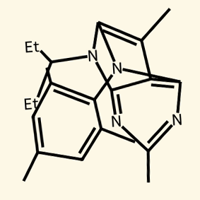 CCC(CC)n1c2nc(C)nc3c2c(C)c1n3-c1c(C)cc(C)cc1C